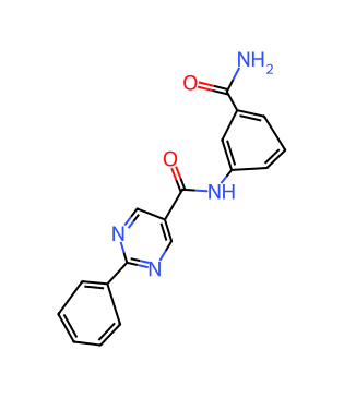 NC(=O)c1cccc(NC(=O)c2cnc(-c3ccccc3)nc2)c1